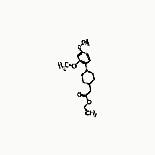 CCOC(=O)CC1CCC(c2ccc(OC)cc2OC)CC1